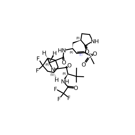 CC(C)(C)[C@@H](NC(=O)C(F)(F)F)C(=O)N1[C@H]2CC[C@@H]([C@@H]1C(=O)N[C@@H](/C=C(\F)S(C)(=O)=O)C[C@H]1CCNC1=O)C(F)(F)C2